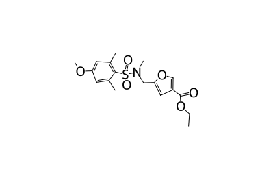 CCOC(=O)c1coc(CN(C)S(=O)(=O)c2c(C)cc(OC)cc2C)c1